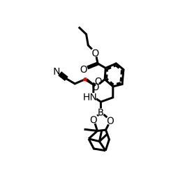 CCCOC(=O)c1cccc(CC(NC(=O)CCC#N)B2OC3CC4CC(C4(C)C)C3(C)O2)c1OC